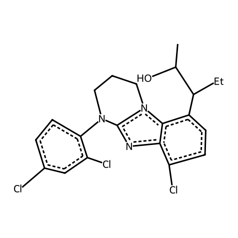 CCC(c1ccc(Cl)c2nc3n(c12)CCCN3c1ccc(Cl)cc1Cl)C(C)O